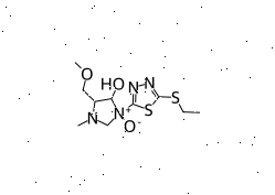 CCSc1nnc([N+]2([O-])CN(C)C(COC)C2O)s1